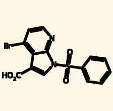 O=C(O)c1cn(S(=O)(=O)c2ccccc2)c2nccc(Br)c12